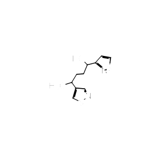 CC(CCC(C)c1ccsn1)c1cnsc1